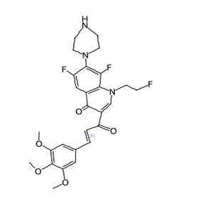 COc1cc(/C=C/C(=O)c2cn(CCF)c3c(F)c(N4CCNCC4)c(F)cc3c2=O)cc(OC)c1OC